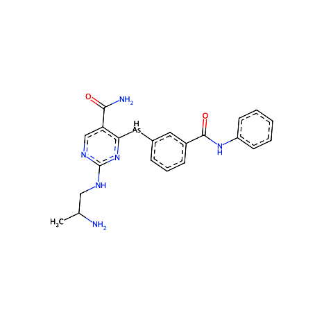 CC(N)CNc1ncc(C(N)=O)c([AsH]c2cccc(C(=O)Nc3ccccc3)c2)n1